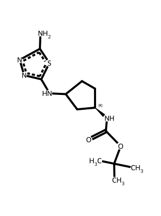 CC(C)(C)OC(=O)N[C@@H]1CCC(Nc2nnc(N)s2)C1